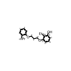 CCCc1ccccc1OCCCOc1cccc(O)c1CC